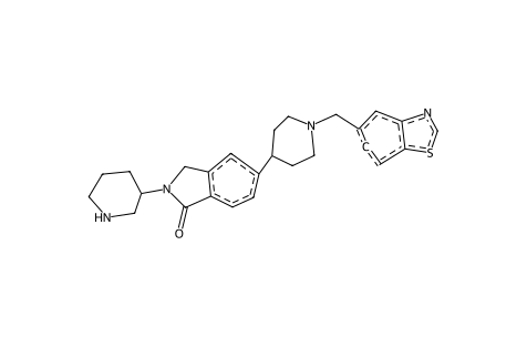 O=C1c2ccc(C3CCN(Cc4ccc5scnc5c4)CC3)cc2CN1C1CCCNC1